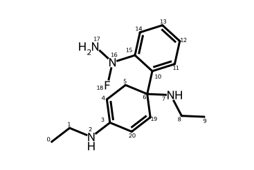 CCNC1=CCC(NCC)(c2ccccc2N(N)F)C=C1